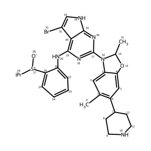 Cc1cc2c(cc1C1CCNCC1)OC(C)N2c1nc(Nc2ccccc2[S+]([O-])C(C)C)c2c(Br)c[nH]c2n1